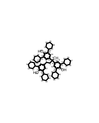 CC(CCc1cc(C2CCCCC2)c(O)c(C2CCCCC2)c1)(c1cc(C2CCCCC2)c(O)c(C2CCCCC2)c1)c1cc(C2CCCCC2)c(O)c(C2CCCCC2)c1